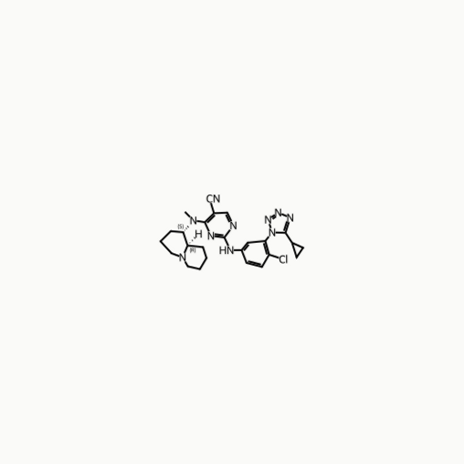 CN(c1nc(Nc2ccc(Cl)c(-n3nnnc3C3CC3)c2)ncc1C#N)[C@H]1CCCN2CCCC[C@H]12